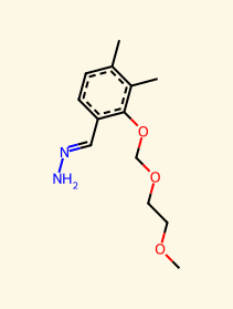 COCCOCOc1c(/C=N/N)ccc(C)c1C